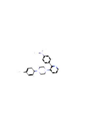 CC1=CCC(N2CCN(c3cccnc3-c3ccc(N(C)C)cc3)CC2)C=C1